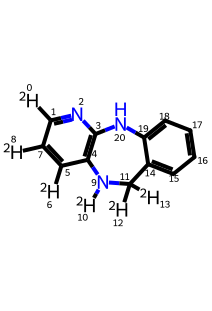 [2H]c1nc2c(c([2H])c1[2H])N([2H])C([2H])([2H])c1ccccc1N2